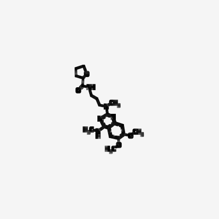 CNc1nc(N(C)CCCNC(=O)C2CCCO2)nc2cc(OC)c(OC)cc12